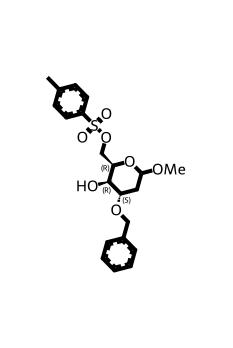 COC1C[C@H](OCc2ccccc2)[C@@H](O)[C@@H](COS(=O)(=O)c2ccc(C)cc2)O1